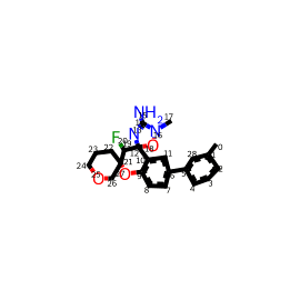 Cc1cccc(-c2ccc3c(c2)C2(N=C(N)N(C)O2)C(F)C2(CCCOC2)O3)c1